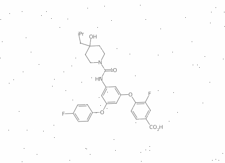 CC(C)CC1(O)CCN(C(=O)Nc2cc(Oc3ccc(F)cc3)cc(Oc3ccc(C(=O)O)cc3F)c2)CC1